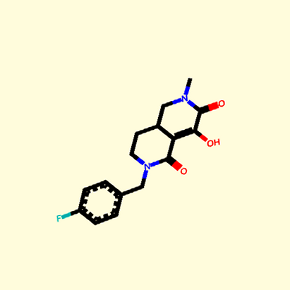 CN1CC2CCN(Cc3ccc(F)cc3)C(=O)C2=C(O)C1=O